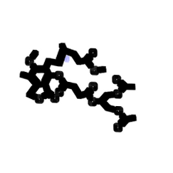 COC(=O)CC/C(C)=C/Cc1c(OC)c(C)c2c(c1OC(=O)CCC(=O)OC(COC(C)=O)COC(C)=O)C(=O)OC2